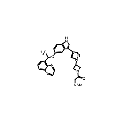 CNCC(=O)N1CC(n2cc(-c3n[nH]c4ccc(OC(C)c5cccc6nccnc56)cc34)cn2)C1